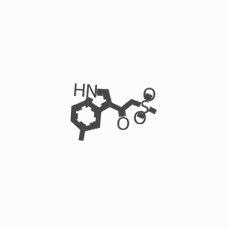 Cc1ccc2[nH]cc(C(=O)CS(C)(=O)=O)c2c1